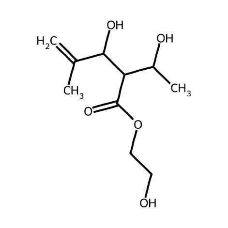 C=C(C)C(O)C(C(=O)OCCO)C(C)O